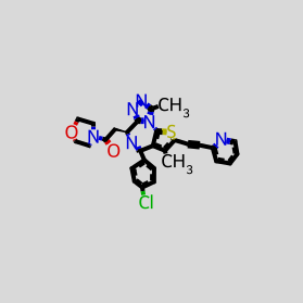 Cc1c(C#Cc2ccccn2)sc2c1C(c1ccc(Cl)cc1)=N[C@@H](CC(=O)N1CCOCC1)c1nnc(C)n1-2